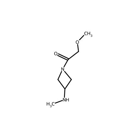 CNC1CN(C(=O)COC)C1